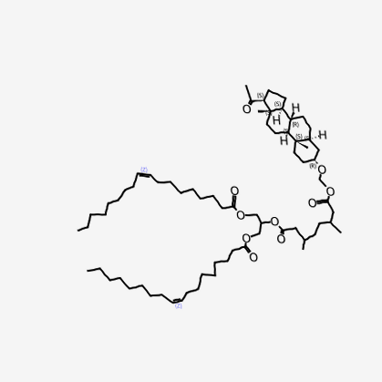 CCCCCCCC/C=C\CCCCCCCC(=O)OCC(COC(=O)CCCCCCC/C=C\CCCCCCCC)OC(=O)CC(C)CCC(C)CC(=O)OCO[C@@H]1CC[C@@]2(C)[C@@H](CC[C@@H]3[C@@H]2CC[C@]2(C)[C@@H](C(C)=O)CC[C@@H]32)C1